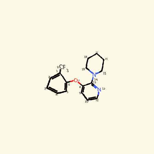 FC(F)(F)c1ccccc1Oc1cccnc1N1CCCCC1